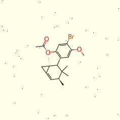 COc1cc(C2C(C)(C)[C@@H](C)C=C3C[C@]32C)c(OC(C)=O)cc1Br